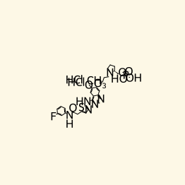 COc1cc2c(Nc3ncc(CC(=O)Nc4cccc(F)c4)s3)ncnc2cc1OCCCN1CCC[C@H]1COP(=O)(O)O.Cl.Cl